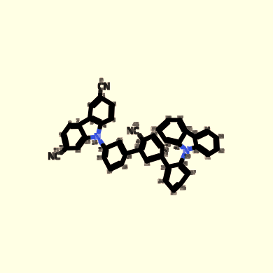 N#Cc1ccc2c(c1)c1ccc(C#N)cc1n2-c1cccc(-c2cc(-c3ccccc3-n3c4ccccc4c4ccccc43)ccc2C#N)c1